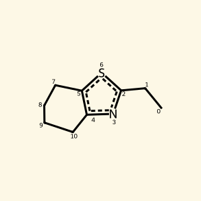 CCc1nc2c(s1)CCCC2